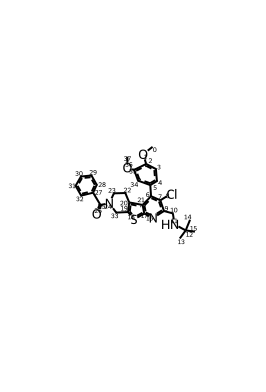 COc1ccc(-c2c(Cl)c(CNC(C)(C)C)nc3sc4c(c23)CCN(C(=O)c2ccccc2)C4)cc1OC